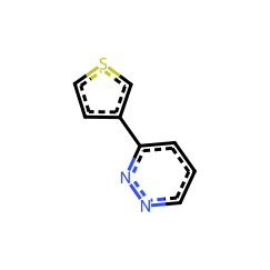 c1cnnc(-c2ccsc2)c1